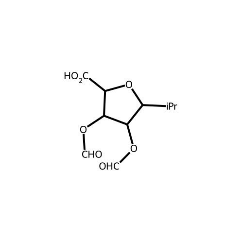 CC(C)C1OC(C(=O)O)C(OC=O)C1OC=O